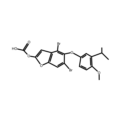 COc1ccc(Oc2c(Br)cc3oc(OC(=O)O)cc3c2Br)cc1C(C)C